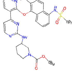 CCCS(=O)(=O)Nc1cccc2c(Oc3nnccc3-c3ccnc(NC4CCCN(C(=O)OC(C)(C)C)C4)n3)c(C)ccc12